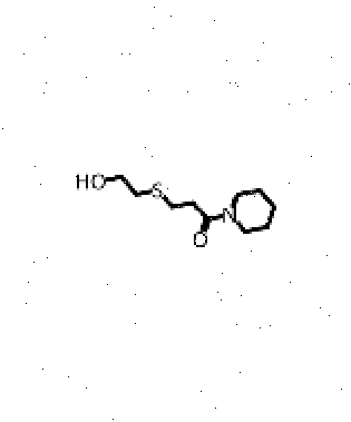 O=C(CCSCCO)N1CCCCC1